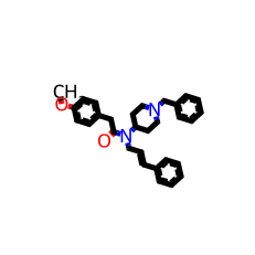 COc1ccc(CC(=O)N(CC=Cc2ccccc2)C2CCN(Cc3ccccc3)CC2)cc1